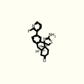 NC1=NC2(CS1)c1cc(-c3cccnc3F)ccc1C[C@@H]1CC(=O)CC[C@H]12